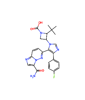 CC(C)(C)C1C(n2cnc(-c3ccc(F)cc3)c2-c2ccc3ncc(C(N)=O)n3n2)CN1C(=O)O